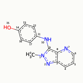 Cn1nc2cccnc2c1Nc1ccc(O)cc1